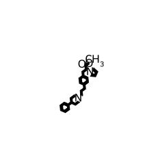 COC(=O)C(Cc1ccc(CCCN2CCC(c3ccccc3)CC2)cc1)n1cccc1